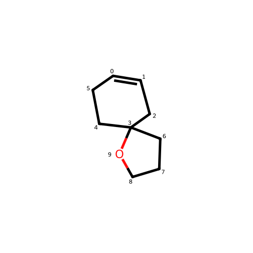 C1=CCC2(CC1)CCCO2